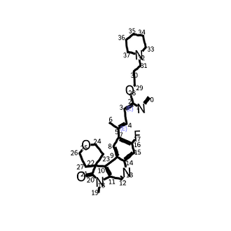 C=N/C(=C\C=C(/C)c1cc2c3c(cnc2cc1F)N(C)C(=O)C31CCOCC1)OCCCN1CCCCC1